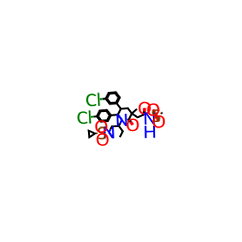 CCC(CN(C)S(=O)(=O)C1CC1)N1C(=O)C(C)(CC(=O)NS(C)(=O)=O)CC(c2cccc(Cl)c2)C1c1ccc(Cl)cc1